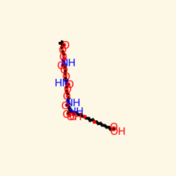 CC(C)C(=O)COCCOCCNC(=O)COCCOCCNC(=O)COCCOCCNC(=O)CC[C@H](NC(=O)CCCCCCCCCCCCCCCCCCC(=O)O)C(=O)O